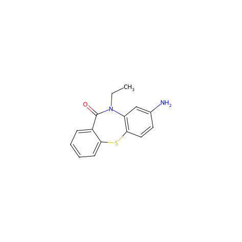 CCN1C(=O)c2ccccc2Sc2ccc(N)cc21